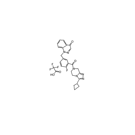 O=C(O)C(F)(F)F.O=C(c1cc(Cn2ncc(=O)c3ccccc32)ccc1F)N1CCn2c(nnc2C2CCC2)C1